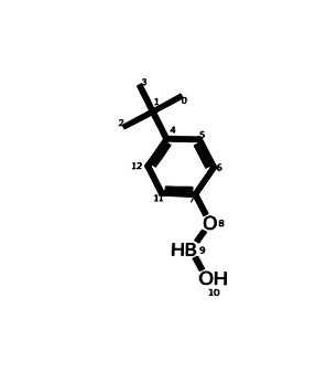 CC(C)(C)c1ccc(OBO)cc1